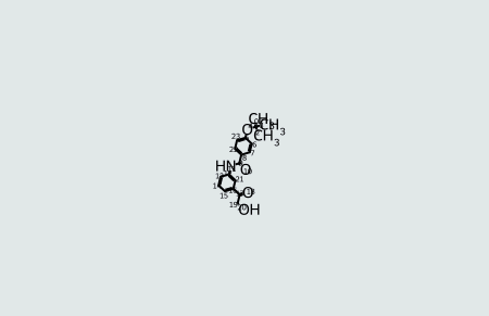 CC(C)(C)Oc1ccc(C(=O)Nc2cccc(C(=O)CO)c2)cc1